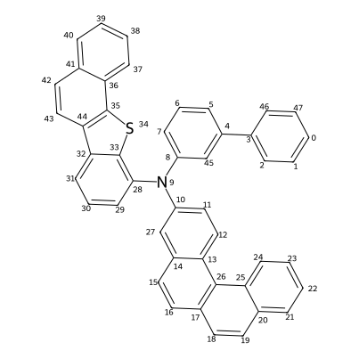 c1ccc(-c2cccc(N(c3ccc4c(ccc5ccc6ccccc6c54)c3)c3cccc4c3sc3c5ccccc5ccc43)c2)cc1